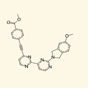 COC(=O)c1ccc(C#Cc2ccnc(-c3ccnc(N4Cc5ccc(OC)cc5C4)n3)n2)cc1